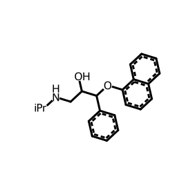 CC(C)NCC(O)C(Oc1cccc2ccccc12)c1ccccc1